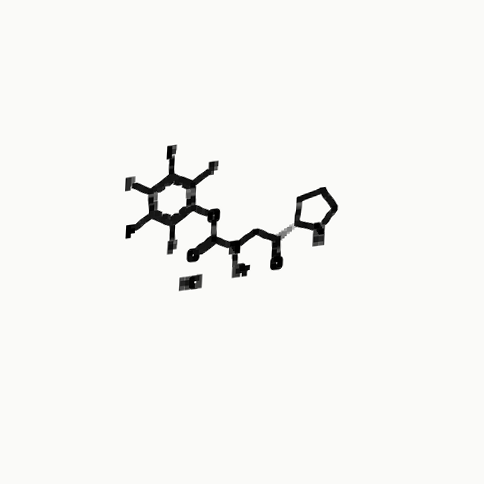 CC(C)N(CC(=O)[C@@H]1CCCN1)C(=O)Oc1c(F)c(F)c(F)c(F)c1F.Cl